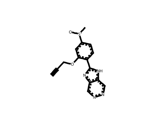 C#CCOc1cc([S+](C)[O-])ccc1-c1nc2cnncc2[nH]1